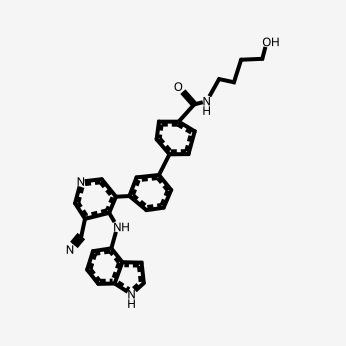 N#Cc1cncc(-c2cccc(-c3ccc(C(=O)NCCCCO)cc3)c2)c1Nc1cccc2[nH]ccc12